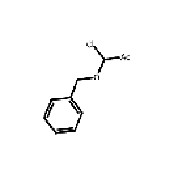 CC(=O)C(Cl)OCc1ccccc1